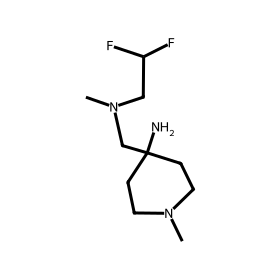 CN1CCC(N)(CN(C)CC(F)F)CC1